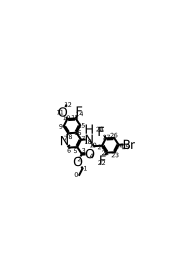 CCOC(=O)c1cnc2cc(OC)c(F)cc2c1NCc1c(F)cc(Br)cc1F